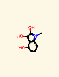 Cn1c(O)c(O)c2c(O)cccc21